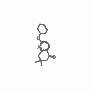 CC1(C)CC(=O)c2ccc(OC3CCCCC3)nc2C1